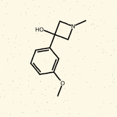 COc1cccc(C2(O)CN(C)C2)c1